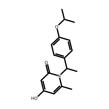 Cc1cc(O)cc(=O)n1C(C)c1ccc(OC(C)C)cc1